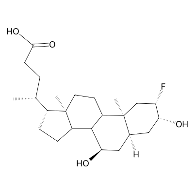 C[C@H](CCC(=O)O)[C@H]1CCC2C3C(CC[C@@]21C)[C@@]1(C)C[C@H](F)[C@H](O)C[C@H]1C[C@H]3O